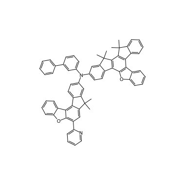 CC1(C)c2cc(N(c3cccc(-c4ccccc4)c3)c3ccc4c(c3)C(C)(C)c3c5c(c6c(oc7ccccc76)c3-4)-c3ccccc3C5(C)C)ccc2-c2c1cc(-c1ccccn1)c1oc3ccccc3c21